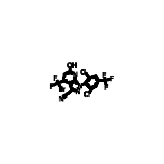 N#Cc1nn(-c2c(Cl)cc(C(F)(F)F)cc2Cl)c2nc(O)cc(C(F)(F)Br)c12